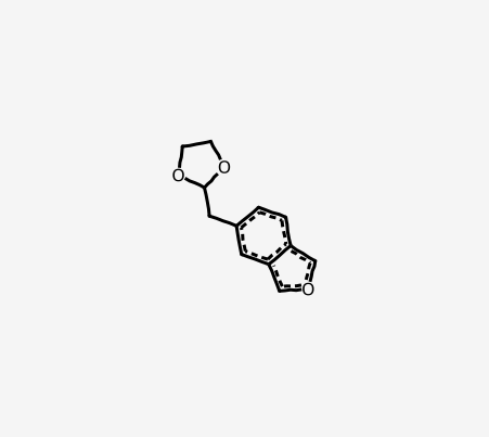 c1cc2cocc2cc1CC1OCCO1